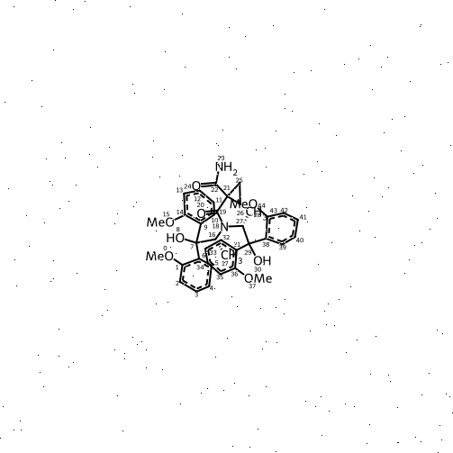 COc1ccccc1C(O)(c1ccccc1OC)[C@@H](C)N(C(=O)C1(C(N)=O)CC1)[C@H](C)C(O)(c1ccccc1OC)c1ccccc1OC